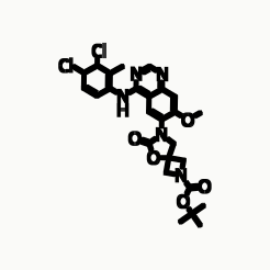 COc1cc2ncnc(NC3=C(C)C(Cl)C(Cl)C=C3)c2cc1N1CC2(CN(C(=O)OC(C)(C)C)C2)OC1=O